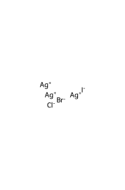 [Ag+].[Ag+].[Ag+].[Br-].[Cl-].[I-]